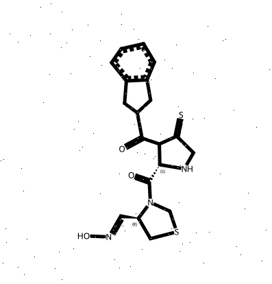 O=C(C1Cc2ccccc2C1)C1C(=S)CN[C@@H]1C(=O)N1CSC[C@H]1C=NO